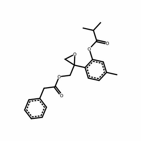 Cc1ccc(C2(COC(=O)Cc3ccccc3)CO2)c(OC(=O)C(C)C)c1